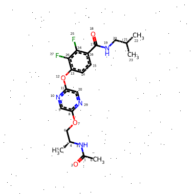 CC(=O)N[C@@H](C)COc1cnc(Oc2ccc(C(=O)NCC(C)C)c(F)c2F)cn1